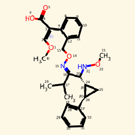 CO/C=C(/C(=O)O)c1ccccc1CON=C(C(C)C)C(NOC)[C@@H]1C[C@H]1c1ccccc1